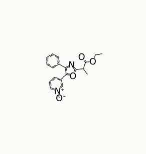 CCOC(=O)C(C)c1nc(-c2ccccc2)c(-c2ccc[n+]([O-])c2)o1